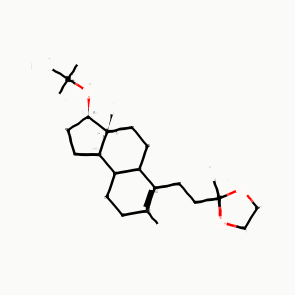 CC1=C(CCC2(C)OCCO2)C2CC[C@]3(C)C(CC[C@H]3OC(C)(C)C)C2CC1